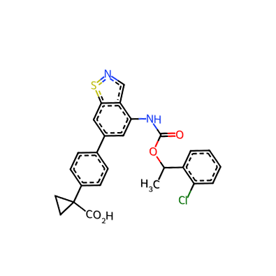 CC(OC(=O)Nc1cc(-c2ccc(C3(C(=O)O)CC3)cc2)cc2sncc12)c1ccccc1Cl